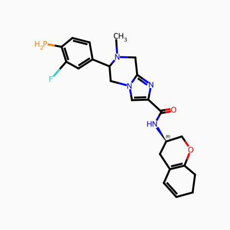 CN1Cc2nc(C(=O)N[C@H]3COC4=C(C=CCC4)C3)cn2CC1c1ccc(P)c(F)c1